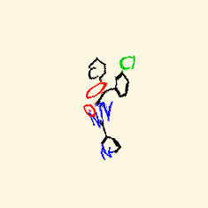 CN1C=C(c2noc(C(OC3CCCCC3)c3cccc(Cl)c3)n2)C=CC1